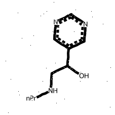 CCCNCC(O)c1cncnc1